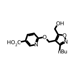 CCCCc1noc(CO)c1COc1ccc(C(=O)O)cn1